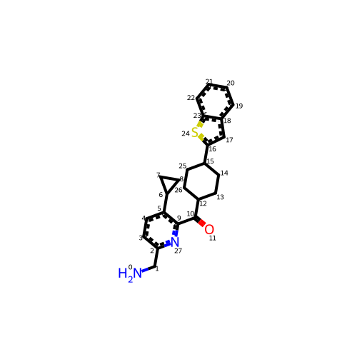 NCc1ccc(C2CC2)c(C(=O)C2CCC(c3cc4ccccc4s3)CC2)n1